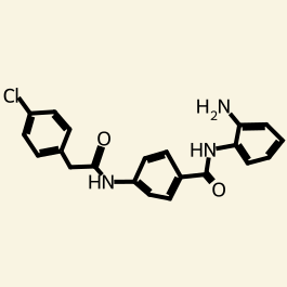 Nc1ccccc1NC(=O)c1ccc(NC(=O)Cc2ccc(Cl)cc2)cc1